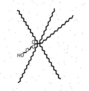 CCCCCCCCCCCCCCCCCCC(CCCCCCCCCCCCCCC)(CCCCCCCCCCCCCCCCCC)C(CCCCCCCCCCCCCCCCCC)(CCCCCCCCCCCCCCCCCC)C(=O)OCCOCCO